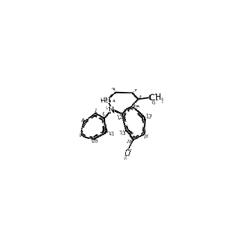 CC1CCNN(c2ccccc2)c2cc(Cl)ccc21